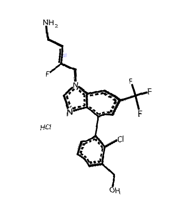 Cl.NC/C=C(\F)Cn1cnc2c(-c3cccc(CO)c3Cl)cc(C(F)(F)F)cc21